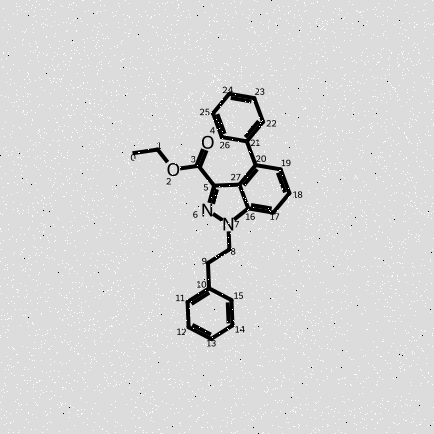 CCOC(=O)c1nn(CCc2ccccc2)c2cccc(-c3ccccc3)c12